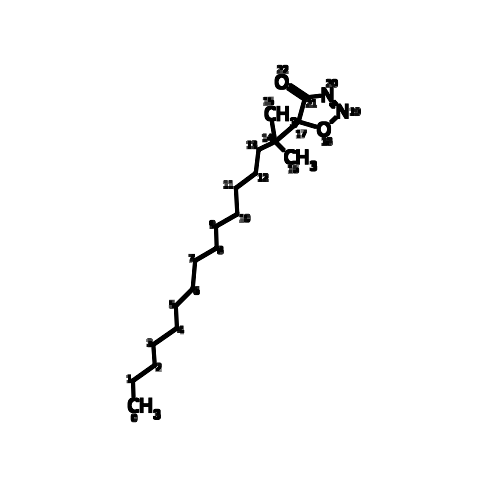 CCCCCCCCCCCCCCC(C)(C)C1ON=NC1=O